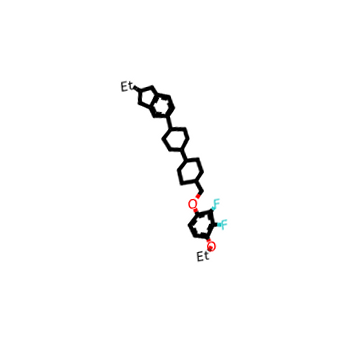 CCOc1ccc(OCC2CCC(C3CCC(c4ccc5c(c4)CC(CC)C5)CC3)CC2)c(F)c1F